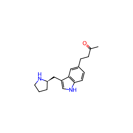 CC(=O)CCc1ccc2[nH]cc(C[C@H]3CCCN3)c2c1